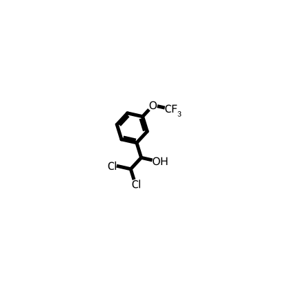 OC(c1cccc(OC(F)(F)F)c1)C(Cl)Cl